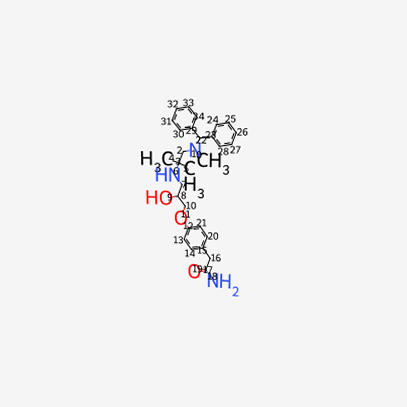 CN(CC(C)(C)NCC(O)COc1ccc(CC(N)=O)cc1)C(c1ccccc1)c1ccccc1